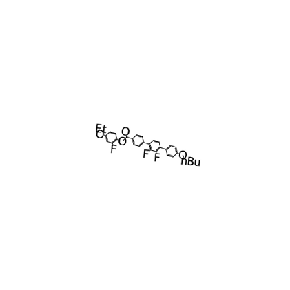 CCCCOc1ccc(-c2ccc(-c3ccc(C(=O)Oc4ccc(OCC)cc4F)cc3)c(F)c2F)cc1